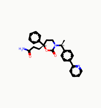 C[C@@H](c1ccc(-c2ccccn2)cc1)N1CC[C@@](CCC(N)=O)(c2ccccc2)OC1=O